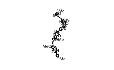 COc1ccc(C2=CN3C(=O)c4cc(OC)c(OCCCOc5cc6c(cc5OC)C(=O)N5C=C(c7ccc(NC(=O)[C@H](C)NC(=O)[C@@H](NC(=O)CCCCCN8C(=O)CC(SC)C8=O)C(C)C)cc7)C[C@H]5C=N6)cc4N=C[C@@H]3C2)cc1